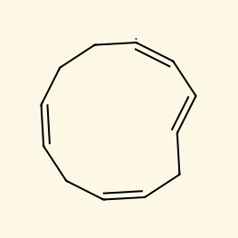 [C]1=C\C=C\C/C=C\C/C=C\CC/1